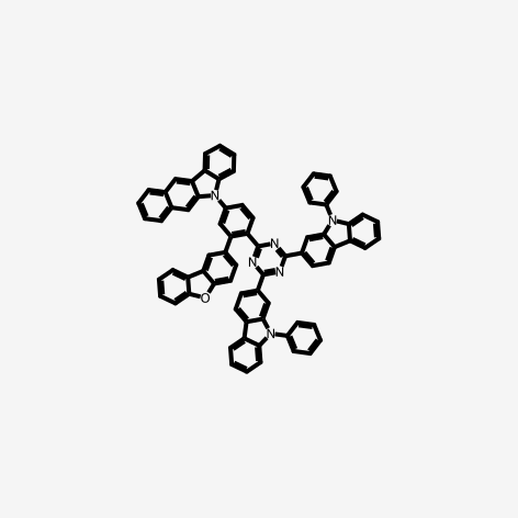 c1ccc(-n2c3ccccc3c3ccc(-c4nc(-c5ccc6c7ccccc7n(-c7ccccc7)c6c5)nc(-c5ccc(-n6c7ccccc7c7cc8ccccc8cc76)cc5-c5ccc6oc7ccccc7c6c5)n4)cc32)cc1